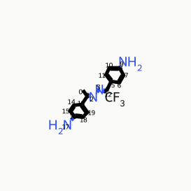 C/C(=N\N=C(\c1ccc(N)cc1)C(F)(F)F)c1ccc(N)cc1